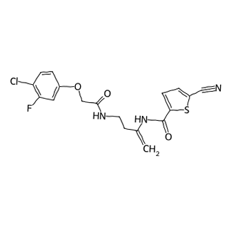 C=C(CCNC(=O)COc1ccc(Cl)c(F)c1)NC(=O)c1ccc(C#N)s1